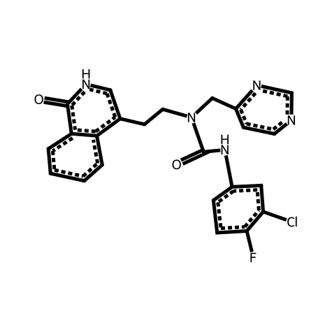 O=C(Nc1ccc(F)c(Cl)c1)N(CCc1c[nH]c(=O)c2ccccc12)Cc1ccncn1